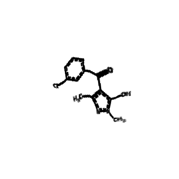 Cc1nn(C)c(O)c1C(=O)c1cccc(Cl)c1